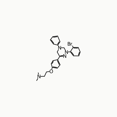 CN(C)CCOc1ccc(C2=NN(c3ccccc3Br)CN(c3ccccc3)C2)cc1